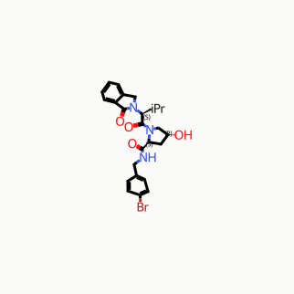 CC(C)[C@@H](C(=O)N1C[C@H](O)C[C@H]1C(=O)NCc1ccc(Br)cc1)N1Cc2ccccc2C1=O